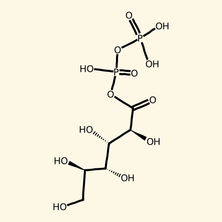 O=C(OP(=O)(O)OP(=O)(O)O)[C@@H](O)[C@@H](O)[C@H](O)[C@H](O)CO